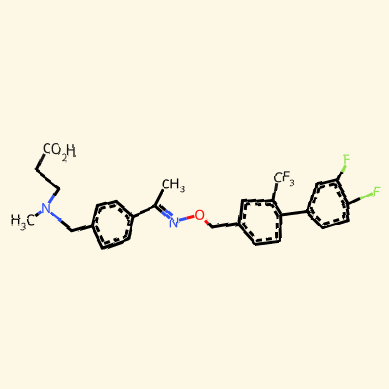 C/C(=N\OCc1ccc(-c2ccc(F)c(F)c2)c(C(F)(F)F)c1)c1ccc(CN(C)CCC(=O)O)cc1